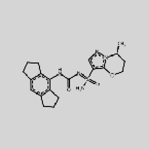 C[C@H]1CCOc2c([S@](N)(=O)=NC(=O)Nc3c4c(cc5c3CCC5)CCC4)cnn21